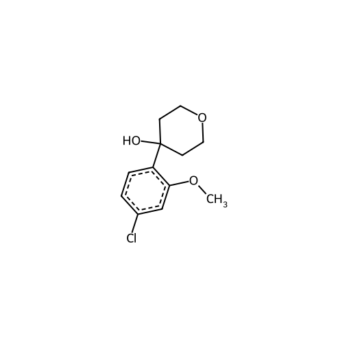 COc1cc(Cl)ccc1C1(O)CCOCC1